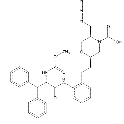 COC(=O)N[C@H](C(=O)Nc1ccccc1CC[C@@H]1CN(C(=O)O)[C@H](CN=[N+]=[N-])CO1)C(c1ccccc1)c1ccccc1